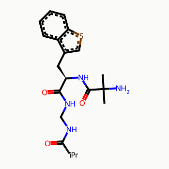 CC(C)C(=O)NCNC(=O)[C@@H](Cc1csc2ccccc12)NC(=O)C(C)(C)N